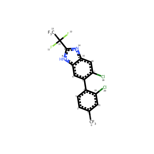 FC(F)(F)c1ccc(-c2cc3[nH]c(C(F)(F)C(F)(F)F)nc3cc2Cl)c(Cl)c1